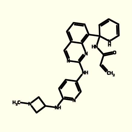 C=CC(=O)NC1(c2cccc3cnc(Nc4ccc(NC5CN(C)C5)nc4)nc23)C=CC=CN1